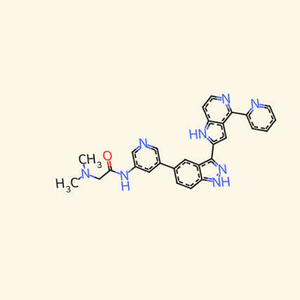 CN(C)CC(=O)Nc1cncc(-c2ccc3[nH]nc(-c4cc5c(-c6ccccn6)nccc5[nH]4)c3c2)c1